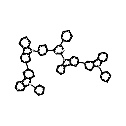 c1ccc(-c2cc(-c3ccc(-n4c5ccccc5c5ccc(-c6ccc7c(c6)c6ccccc6n7-c6ccccc6)cc54)cc3)nc(-n3c4ccccc4c4cc(-c5ccc6c(c5)c5ccccc5n6-c5ccccc5)ccc43)n2)cc1